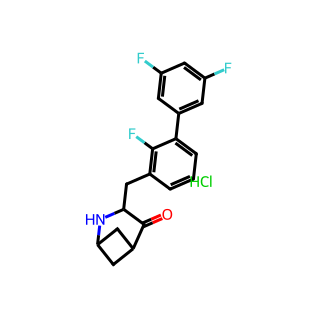 Cl.O=C1C2CC(C2)NC1Cc1cccc(-c2cc(F)cc(F)c2)c1F